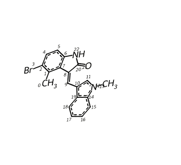 Cc1c(Br)ccc2c1C(=Cc1cn(C)c3ccccc13)C(=O)N2